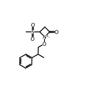 CC(CO[N+]1C(=O)CC1S(C)(=O)=O)c1ccccc1